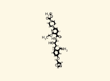 CCOc1nc(N2CCN(C(=O)OC)CC2)ccc1C(=O)NC[C@@H](O)CCc1ccc(OCc2cnco2)cc1CN